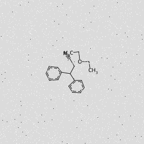 CCOCC.N#CCC(c1ccccc1)c1ccccc1